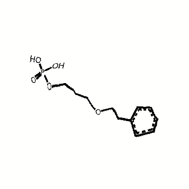 O=P(O)(O)OCCCOCCc1ccccc1